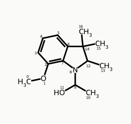 COc1cccc2c1N(C(C)O)C(C)C2(C)C